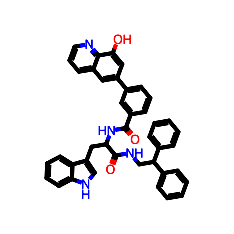 O=C(NC(Cc1c[nH]c2ccccc12)C(=O)NCC(c1ccccc1)c1ccccc1)c1cccc(-c2cc(O)c3ncccc3c2)c1